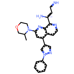 CC1COCCN1c1cc(-c2cnn(-c3ccccc3)c2)c2ccnc(/C(N)=C/C=N)c2n1